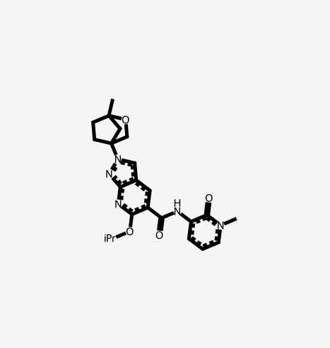 CC(C)Oc1nc2nn(C34CCC(C)(C3)OC4)cc2cc1C(=O)Nc1cccn(C)c1=O